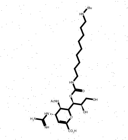 CC(=O)N[C@H]1C([C@@H](OC(=O)NCCCCCCCCCNC(C)(C)C)[C@H](O)CO)OC(C(=O)O)=C[C@@H]1NC(=N)N